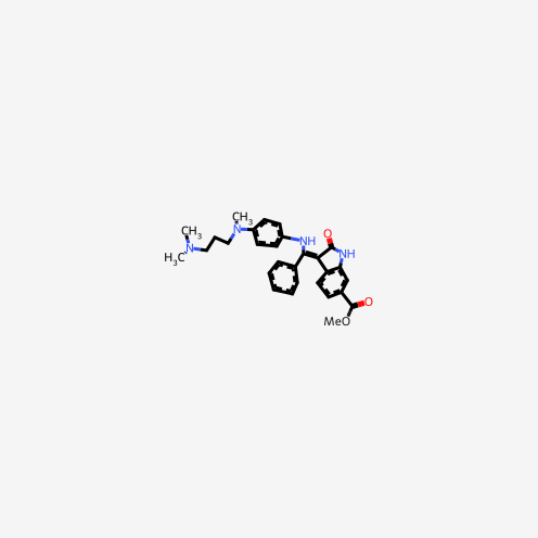 COC(=O)c1ccc2c(c1)NC(=O)/C2=C(\Nc1ccc(N(C)CCCN(C)C)cc1)c1ccccc1